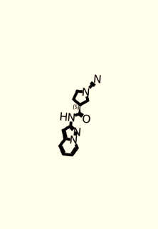 N#CN1CC[C@H](C(=O)Nc2cc3ccccn3n2)C1